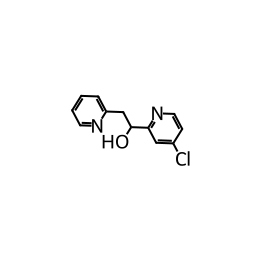 OC(Cc1ccccn1)c1cc(Cl)ccn1